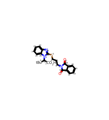 CC(C)(C)C(C(=O)O)n1c(SCCCN2C(=O)c3ccccc3C2=O)nc2ccccc21